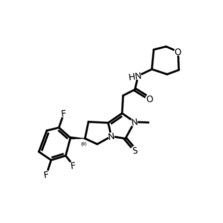 Cn1c(CC(=O)NC2CCOCC2)c2n(c1=S)C[C@@H](c1c(F)ccc(F)c1F)C2